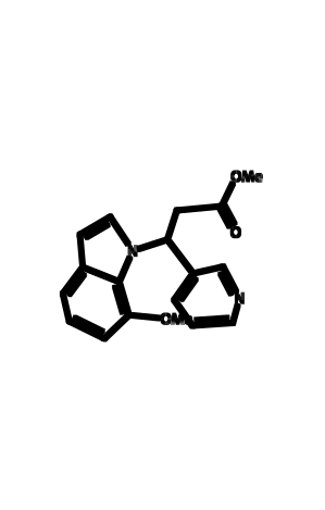 COC(=O)CC(c1cccnc1)n1ccc2cccc(OC)c21